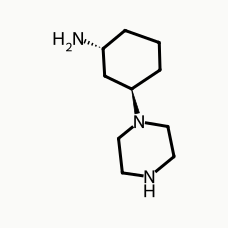 N[C@@H]1CCC[C@@H](N2CCNCC2)C1